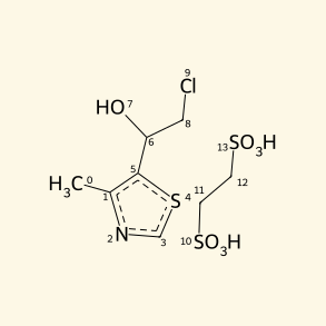 Cc1ncsc1C(O)CCl.O=S(=O)(O)CCS(=O)(=O)O